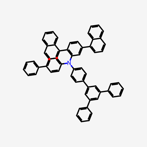 c1ccc(-c2ccc(N(c3ccc(-c4cc(-c5ccccc5)cc(-c5ccccc5)c4)cc3)c3cc(-c4cccc5ccccc45)ccc3-c3cccc4ccccc34)cc2)cc1